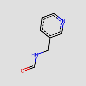 O=[C]NCc1cccnc1